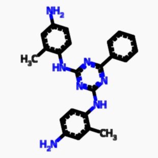 Cc1cc(N)ccc1Nc1nc(Nc2ccc(N)cc2C)nc(-c2ccccc2)n1